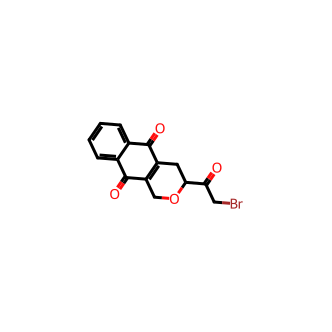 O=C1C2=C(CC(C(=O)CBr)OC2)C(=O)c2ccccc21